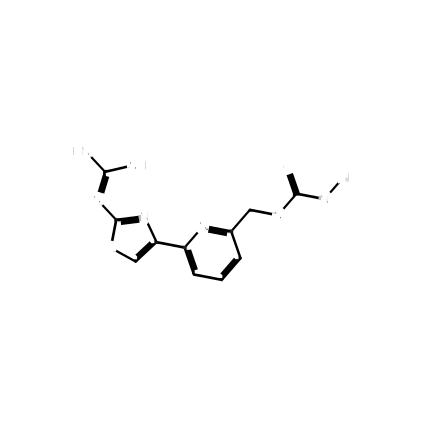 CCCNC(=O)NCc1cccc(-c2csc(N=C(N)N)n2)n1